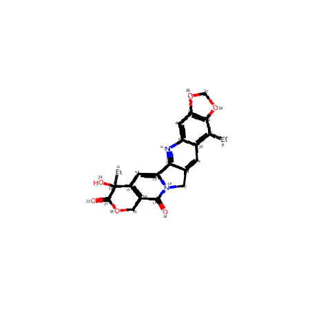 CCc1c2c(cc3nc4c(cc13)Cn1c-4cc3c(c1=O)COC(=O)C3(O)CC)OCO2